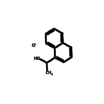 CC(O)[n+]1cccc2ccccc21.[Cl-]